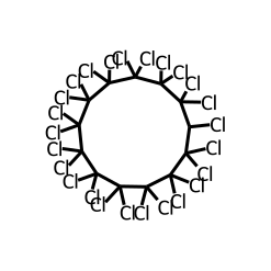 ClC1C(Cl)(Cl)C(Cl)(Cl)C(Cl)(Cl)C(Cl)(Cl)C(Cl)(Cl)C(Cl)(Cl)C(Cl)(Cl)C(Cl)(Cl)C(Cl)(Cl)C(Cl)(Cl)C(Cl)(Cl)C1(Cl)Cl